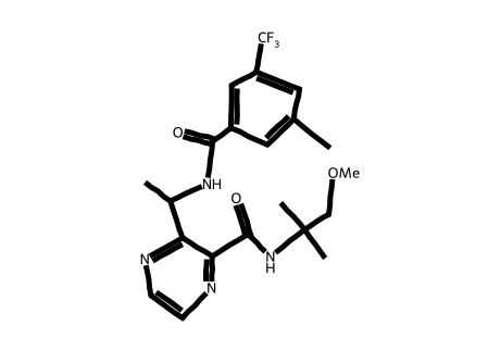 COCC(C)(C)NC(=O)c1nccnc1C(C)NC(=O)c1cc(C)cc(C(F)(F)F)c1